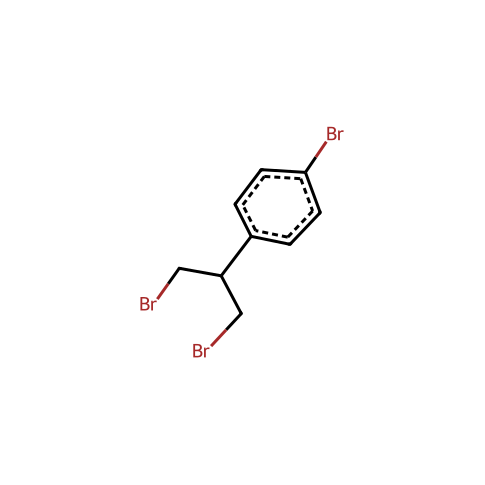 BrCC(CBr)c1ccc(Br)cc1